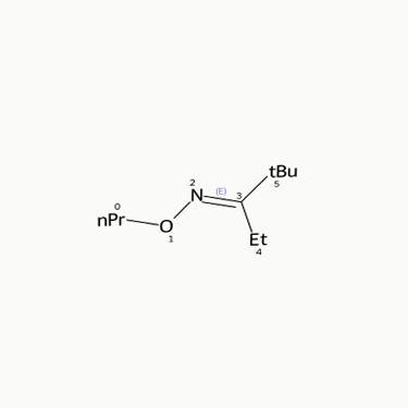 CCCO/N=C(\CC)C(C)(C)C